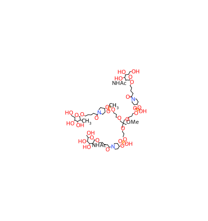 COCC(COCCCOP(C)(=O)OC1CCN(C(=O)CCCCOC2OC(CO)C(O)C(O)C2C)CC1)(COCCCOP(=O)(O)OC1CCN(C(=O)CCCCOC2OC(CO)C(O)C(O)C2NC(C)=O)CC1)COCCCOP(=O)(O)OC1CCN(C(=O)CCCCOC2OC(CO)C(O)C(O)C2NC(C)=O)CC1